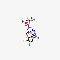 CC(C)(C)OC(=O)N1Cc2nnc3n2[C@@H](COC2C(Cl)=C(Br)C(F)=CC32C)C1